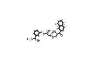 N=C(N)c1cccc(OCC(O)CN2CCN(C(=O)c3ccc4ccccc4c3)CC2)c1